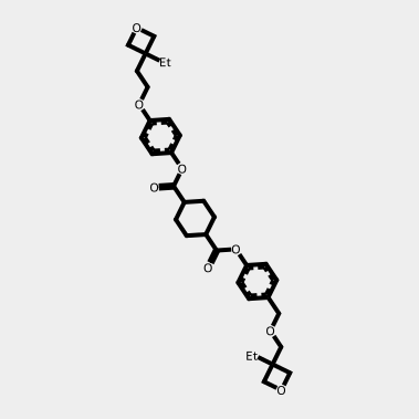 CCC1(CCOc2ccc(OC(=O)C3CCC(C(=O)Oc4ccc(COCC5(CC)COC5)cc4)CC3)cc2)COC1